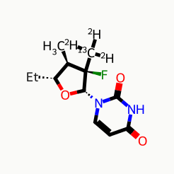 [2H][13C]([2H])([2H])[C@@]1(F)[C@H](C)[C@@H](CC)O[C@H]1n1ccc(=O)[nH]c1=O